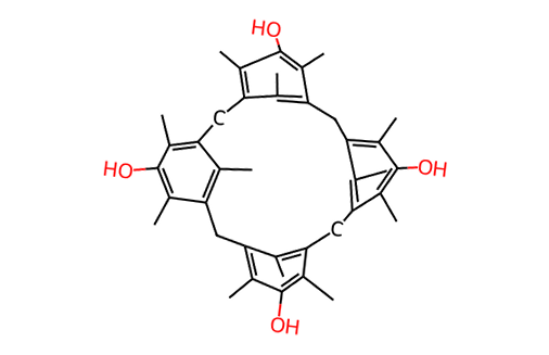 Cc1c(O)c(C)c2c(C)c1Cc1c(C)c(O)c(C)c(c1C)Cc1c(C)c(O)c(C)c(c1C)Cc1c(C)c(O)c(C)c(c1C)C2